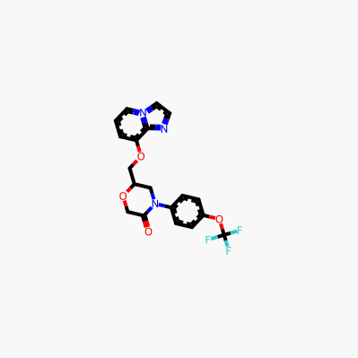 O=C1COC(COc2cccn3ccnc23)CN1c1ccc(OC(F)(F)F)cc1